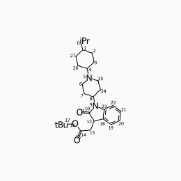 CC(C)C1CCC(N2CCC(N3C(=O)C(CC(=O)OC(C)(C)C)c4ccccc43)CC2)CC1